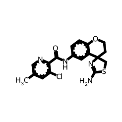 Cc1cnc(C(=O)Nc2ccc3c(c2)C2(CCO3)CSC(N)=N2)c(Cl)c1